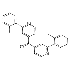 Cc1ccccc1-c1cc(C(=O)c2ccnc(-c3ccccc3C)c2)ccn1